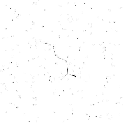 NOCC[C@H](N)C(=O)O